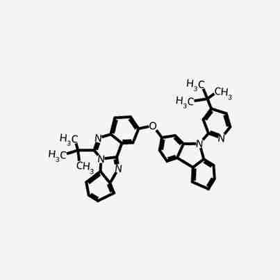 CC(C)(C)c1ccnc(-n2c3ccccc3c3ccc(Oc4ccc5nc(C(C)(C)C)n6c7ccccc7nc6c5c4)cc32)c1